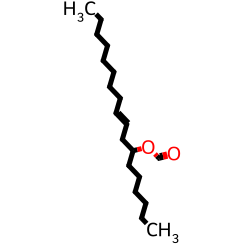 CCCCCCCCC=CCC(CCCCCC)OC=O